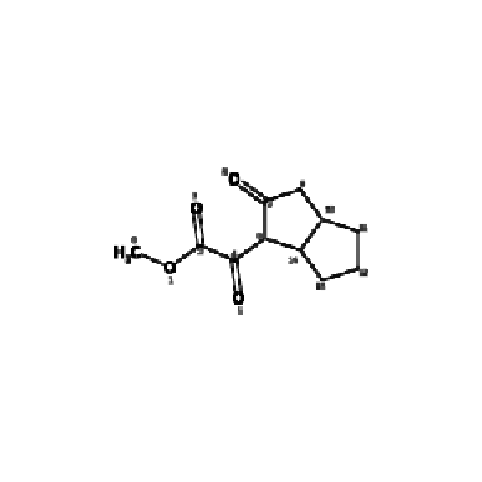 COC(=O)C(=O)C1C(=O)CC2CCCC21